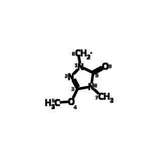 [CH2]n1nc(OC)n(C)c1=O